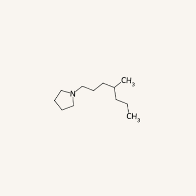 CCCC(C)CCCN1CCCC1